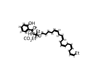 CC/C=C\C/C=C\C/C=C\C/C=C\C/C=C\CCCCOC(CC)(NC(=O)c1ccccc1O)C(=O)OCC